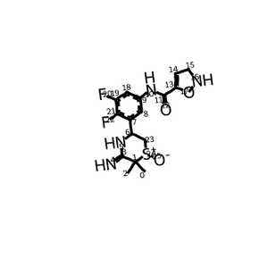 CC1(C)C(=N)NC(c2cc(NC(=O)C3=CCNO3)cc(F)c2F)C[S+]1[O-]